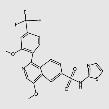 COc1cc(C(F)(F)F)ccc1-c1ncc(OC)c2cc(S(=O)(=O)Nc3nccs3)ccc12